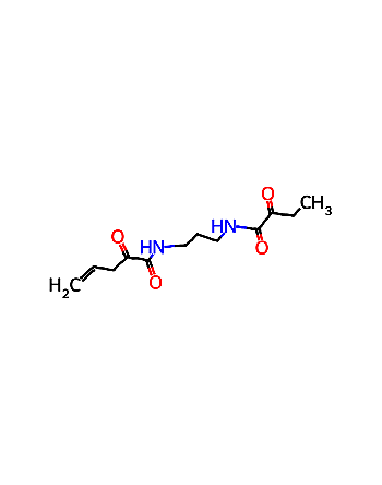 C=CCC(=O)C(=O)NCCCNC(=O)C(=O)CC